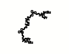 CC(C)CC(C)(N=NC(C)(C)C)SCCOC(=O)OCCSC(C)(C)N=NC(C)(C)SCCOC(=O)OCCSC(C)(CC(C)C)N=NC(C)(C)C